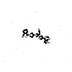 N#CCC1(n2cc(-c3ncnc4[nH]ccc34)cn2)CN(C2CCN(C(=O)c3ccccc3C#N)CC2)C1